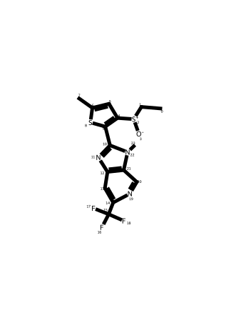 CC[S+]([O-])c1cc(C)sc1-c1nc2cc(C(F)(F)F)ncc2n1C